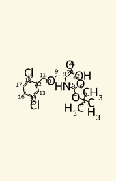 CC(C)(C)OC(=O)N[C@H](COCc1cc(Cl)ccc1Cl)C(=O)O